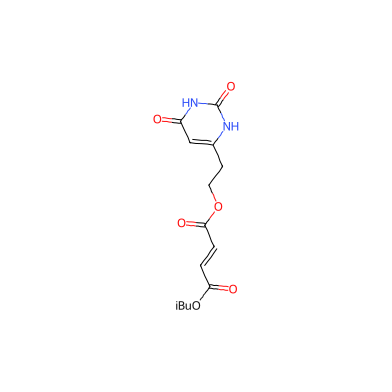 CC(C)COC(=O)/C=C/C(=O)OCCc1cc(=O)[nH]c(=O)[nH]1